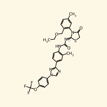 CCOCc1ccc(C)cc1N1C(=O)CS/C1=N\C(=O)Nc1ccc(-c2ncn(-c3ccc(OC(F)(F)F)cc3)n2)cc1C